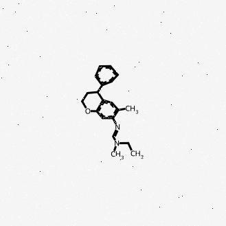 CCN(C)/C=N/c1cc2c(cc1C)C(c1ccccc1)CCO2